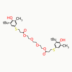 Cc1cc(SCCC(=O)OCCOCCOCCOC(=O)CCSc2cc(C)c(O)c(C(C)(C)C)c2)cc(C(C)(C)C)c1O